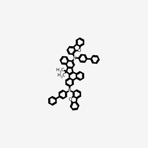 CC1(C)c2c(cc(N(c3ccc(-c4ccccc4)cc3)c3cccc4c3oc3ccccc34)c3ccccc23)-c2c1c1ccc(N(c3ccc(-c4ccccc4)cc3)c3cccc4c3oc3ccccc34)cc1c1ccccc21